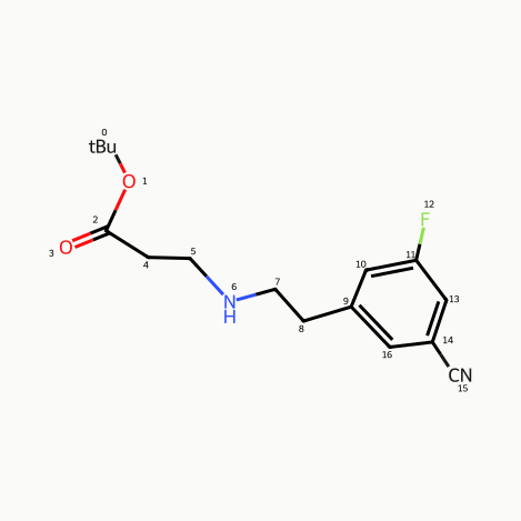 CC(C)(C)OC(=O)CCNCCc1cc(F)cc(C#N)c1